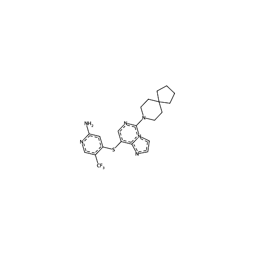 Nc1cc(Sc2cnc(N3CCC4(CCCC4)CC3)n3ccnc23)c(C(F)(F)F)cn1